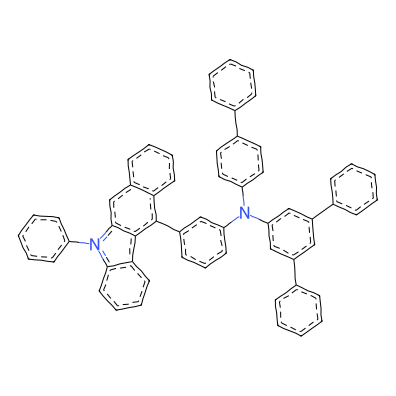 c1ccc(-c2ccc(N(c3cc(-c4ccccc4)cc(-c4ccccc4)c3)c3cccc(-c4c5ccccc5cc5c4c4ccccc4n5-c4ccccc4)c3)cc2)cc1